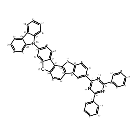 c1ccc(-c2nc(-c3ccccc3)nc(-c3ccc4sc5c(ccc6oc7cc(-n8c9ccccc9c9ccccc98)ccc7c65)c4c3)n2)cc1